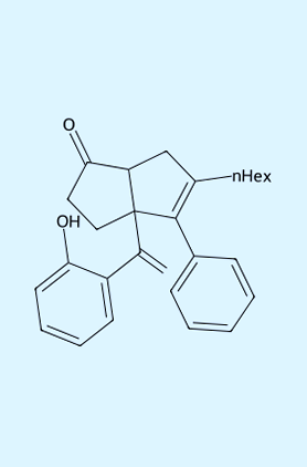 C=C(c1ccccc1O)C12CCC(=O)C1CC(CCCCCC)=C2c1ccccc1